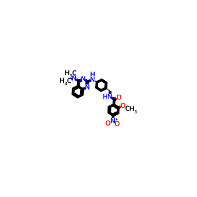 COc1cc([N+](=O)[O-])ccc1C(=O)NC[C@H]1CC[C@@H](Nc2nc(N(C)C)c3ccccc3n2)CC1